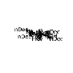 CCCCCCCCCCC(C)CN(CCCCC1NC(=O)C(CCCCN(CC(O)CCCCCCCCCC)CC(O)CCCCCCCCCC)N(CC(C)O)C1=O)CC(O)CCCCCCCCCC